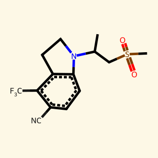 CC(CS(C)(=O)=O)N1CCc2c1ccc(C#N)c2C(F)(F)F